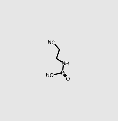 N#CCCN[P](=O)O